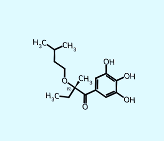 CC[C@](C)(OCCC(C)C)C(=O)c1cc(O)c(O)c(O)c1